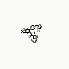 CC1(C)Cc2cc(NC(=O)c3cnn4cccnc34)c(N3CCN(Cc4ncc[nH]4)CC3)cc2O1